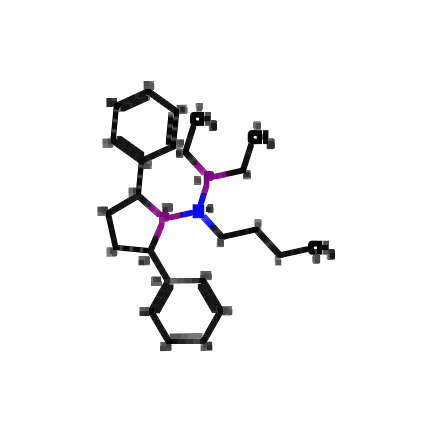 CCCCN(P(CC)CC)P1C(c2ccccc2)CCC1c1ccccc1